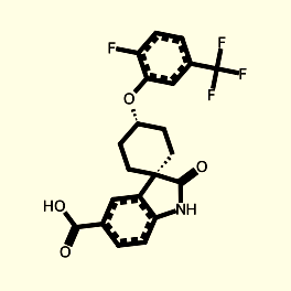 O=C(O)c1ccc2c(c1)[C@]1(CC[C@@H](Oc3cc(C(F)(F)F)ccc3F)CC1)C(=O)N2